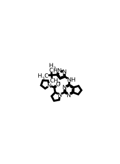 CC(C)(C)c1cc(Nc2nc(N3CCCC3C(=O)N3CCCC3)nc3c2CCC3)n[nH]1